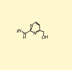 CC(C)Nc1nccc(CO)n1